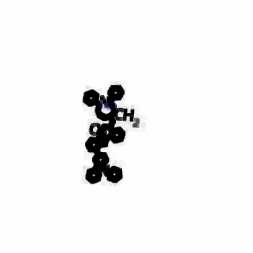 C=C1/C=C(c2ccccc2)\N=C(\c2ccccc2)CC=C=C1Cc1cc(=O)n2c3cccc(-c4ccc5c(c4)c4ccccc4n5-c4ccccc4)c3cc2c2ccccc12